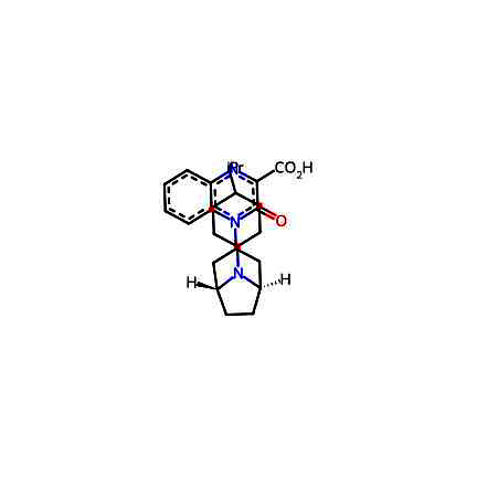 CC(C)C1CCC(N2[C@@H]3CC[C@@H]2CC(n2c(=O)c(C(=O)O)nc4ccccc42)C3)CC1